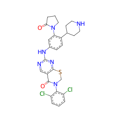 O=C1CCCN1c1cc(Nc2ncc3c(n2)SCN(c2c(Cl)cccc2Cl)C3=O)ccc1C1CCNCC1